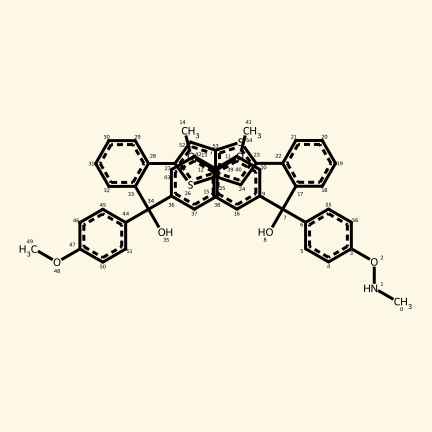 CNOc1ccc(C(O)(c2ccc(OC)cc2)c2ccccc2-c2cc3sc(-c4ccccc4C(O)(c4ccc(OC)cc4)c4ccc(OC)cc4)cc3s2)cc1